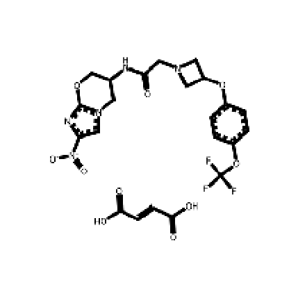 O=C(CN1CC(Oc2ccc(OC(F)(F)F)cc2)C1)NC1COc2nc([N+](=O)[O-])cn2C1.O=C(O)C=CC(=O)O